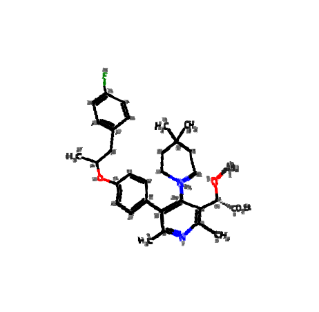 CCOC(=O)[C@@H](OC(C)(C)C)c1c(C)nc(C)c(-c2ccc(OC(C)Cc3ccc(F)cc3)cc2)c1N1CCC(C)(C)CC1